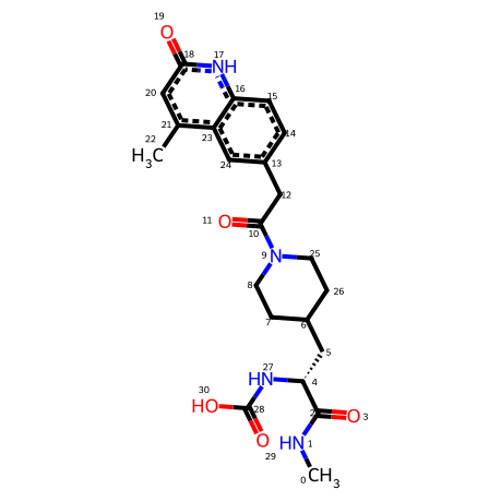 CNC(=O)[C@@H](CC1CCN(C(=O)Cc2ccc3[nH]c(=O)cc(C)c3c2)CC1)NC(=O)O